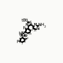 Cc1ccc(F)cc1S(=O)(=O)Nc1cccc(-c2nc(C(C)(C)C)sc2-c2ccnc(N)n2)c1F